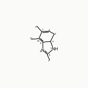 CC1=CCC2NC(C)=NC2=C1C